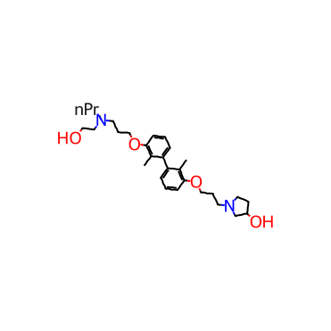 CCCN(CCO)CCCOc1cccc(-c2cccc(OCCCN3CCC(O)C3)c2C)c1C